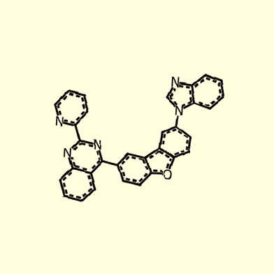 c1ccc(-c2nc(-c3ccc4oc5ccc(-n6cnc7ccccc76)cc5c4c3)c3ccccc3n2)nc1